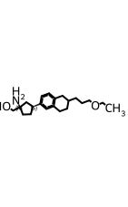 CCOCCCC1CCc2cc([C@H]3CC[C@](N)(CO)C3)ccc2C1